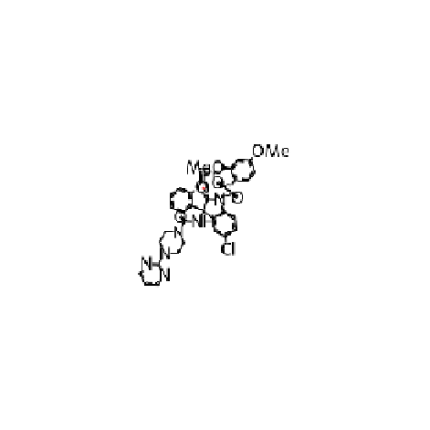 COc1ccc(S(=O)(=O)N2C(=O)C(NC(=O)N3CCN(c4ncccn4)CC3)(c3ccccc3OC(C)C)c3cc(Cl)ccc32)c(OC)c1